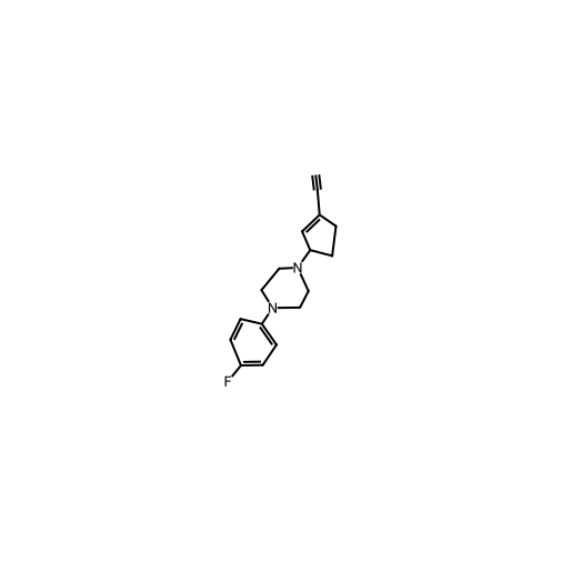 C#CC1=CC(N2CCN(c3ccc(F)cc3)CC2)CC1